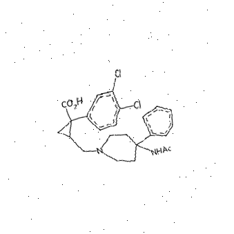 CC(=O)NC1(c2ccccc2)CCN(CC2CC2(C(=O)O)c2ccc(Cl)c(Cl)c2)CC1